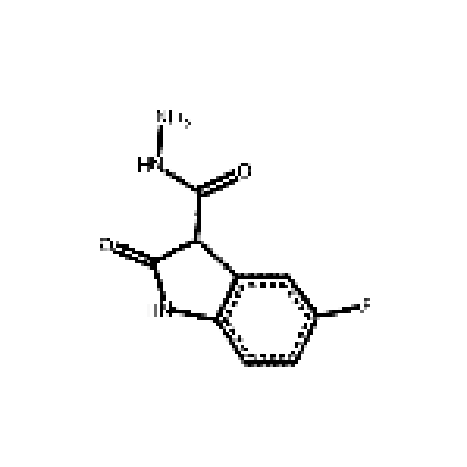 NNC(=O)C1C(=O)Nc2ccc(F)cc21